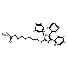 COC(=O)CCCCCCCOc1nc(-c2ccccc2)c(-c2ccccc2)n1-c1ccccc1